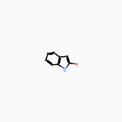 Brc1cc2[c]cccc2[nH]1